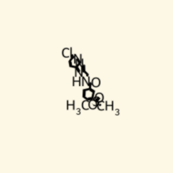 Cc1ccc(C(=O)NCc2cn3nc(Cl)ccc3n2)cc1S(C)(=O)=O